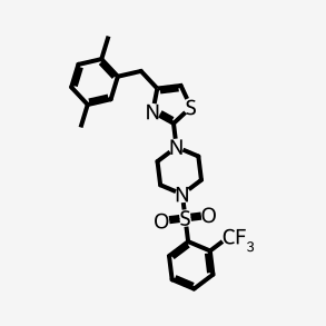 Cc1ccc(C)c(Cc2csc(N3CCN(S(=O)(=O)c4ccccc4C(F)(F)F)CC3)n2)c1